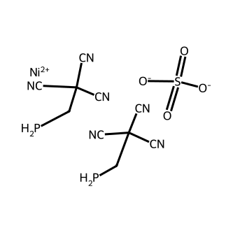 N#CC(C#N)(C#N)CP.N#CC(C#N)(C#N)CP.O=S(=O)([O-])[O-].[Ni+2]